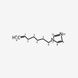 C=CCCCCCn1ccnc1